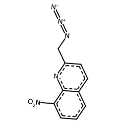 [N-]=[N+]=NCc1ccc2cccc([N+](=O)[O-])c2n1